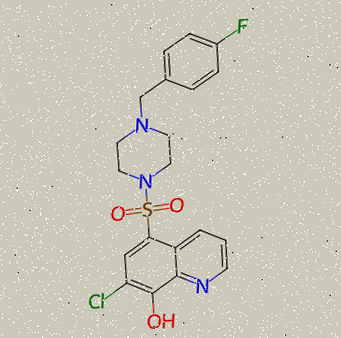 O=S(=O)(c1cc(Cl)c(O)c2ncccc12)N1CCN(Cc2ccc(F)cc2)CC1